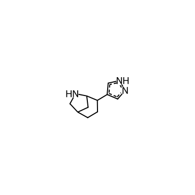 c1n[nH]cc1C1CCC2CNC1C2